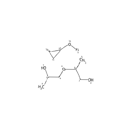 CC(O)COC(C)CO.CCOC1CC1